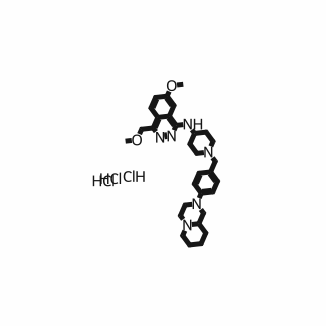 COCc1nnc(NC2CCN(Cc3ccc(N4CCN5CCCCC5C4)cc3)CC2)c2cc(OC)ccc12.Cl.Cl.Cl